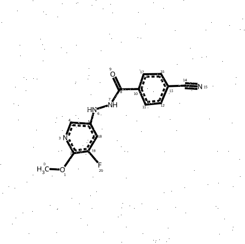 COc1ncc(NNC(=O)c2ccc(C#N)cc2)cc1F